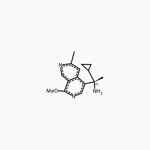 COc1ncc([C@@](C)(N)C2CC2)c2cc(C)ncc12